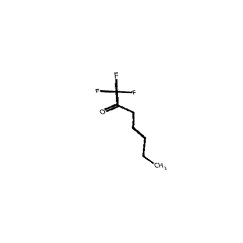 CCCCCC(=O)C(F)(F)F